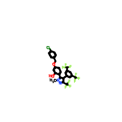 Cn1nc(C(F)(F)F)c(-c2cc(C(F)(F)F)cc(C(F)(F)F)c2)c1-c1ccc(OCc2ccc(Cl)cc2)cc1O